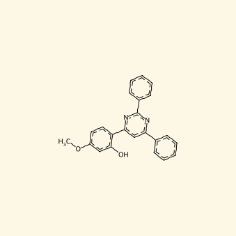 COc1ccc(-c2cc(-c3ccccc3)nc(-c3ccccc3)n2)c(O)c1